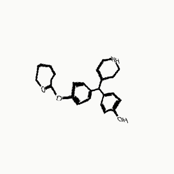 Oc1ccc(C(c2ccc(OC3CCCCO3)cc2)C2CCNCC2)cc1